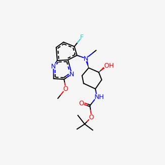 COc1cnc2ccc(F)c(N(C)[C@@H]3CCC(NC(=O)OC(C)(C)C)C[C@@H]3O)c2n1